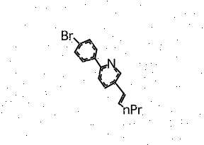 CCCC=Cc1ccc(-c2ccc(Br)cc2)nc1